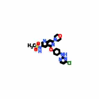 CS(=O)(=O)Nc1cnc2cc(N3CCOCC3)nc(OC3CCC(Nc4nccc(Cl)n4)CC3)c2c1